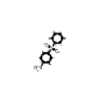 O=[N+]([O-])c1c[c]c(S(=O)(=O)c2ccccc2)cc1